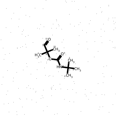 CC(C)(C)NC(=O)OC(C)(C)C=O